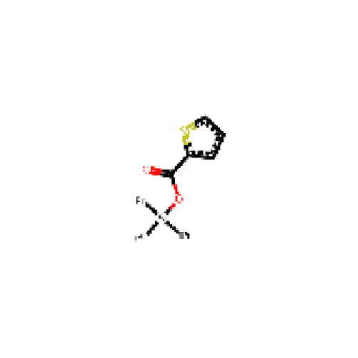 CC(C)[Si](OC(=O)c1cccs1)(C(C)C)C(C)C